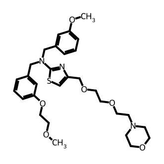 COCCOc1cccc(CN(Cc2cccc(OC)c2)c2nc(COCCOCCN3CCOCC3)cs2)c1